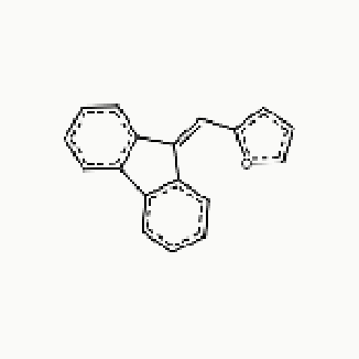 C(=C1c2ccccc2-c2ccccc21)c1ccco1